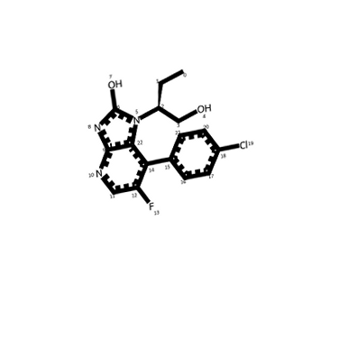 CC[C@@H](CO)n1c(O)nc2ncc(F)c(-c3ccc(Cl)cc3)c21